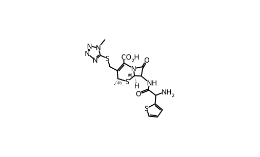 C[C@H]1S[C@@H]2C(NC(=O)C(N)c3cccs3)C(=O)N2C(C(=O)O)=C1CSc1nnnn1C